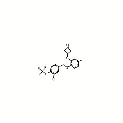 FC(F)(F)Oc1ccc(COc2ccc(Cl)cc2OC2CNC2)cc1Cl